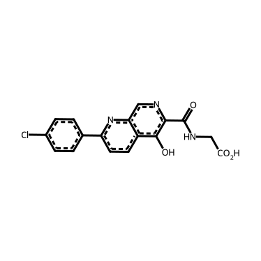 O=C(O)CNC(=O)c1ncc2nc(-c3ccc(Cl)cc3)ccc2c1O